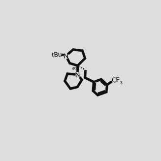 CC(C)(C)N1CCC[C@@](CCc2cccc(C(F)(F)F)c2)(N2CCCCC2)C1